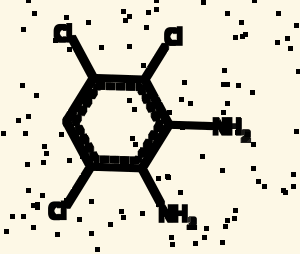 Nc1c(Cl)cc(Cl)c(Cl)c1N